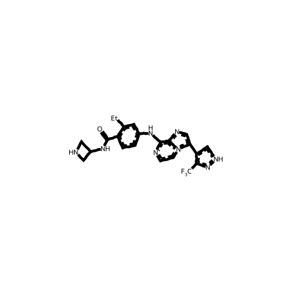 CCc1cc(Nc2nccn3c(-c4c[nH]nc4C(F)(F)F)cnc23)ccc1C(=O)NC1CNC1